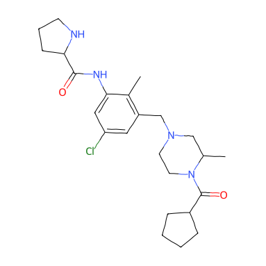 Cc1c(CN2CCN(C(=O)C3CCCC3)C(C)C2)cc(Cl)cc1NC(=O)C1CCCN1